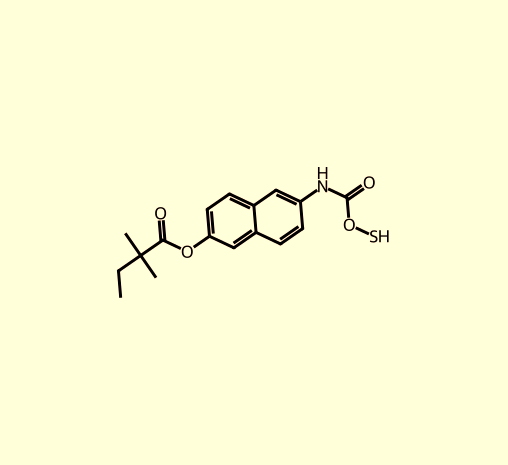 CCC(C)(C)C(=O)Oc1ccc2cc(NC(=O)OS)ccc2c1